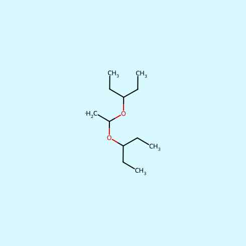 [CH2]C(OC(CC)CC)OC(CC)CC